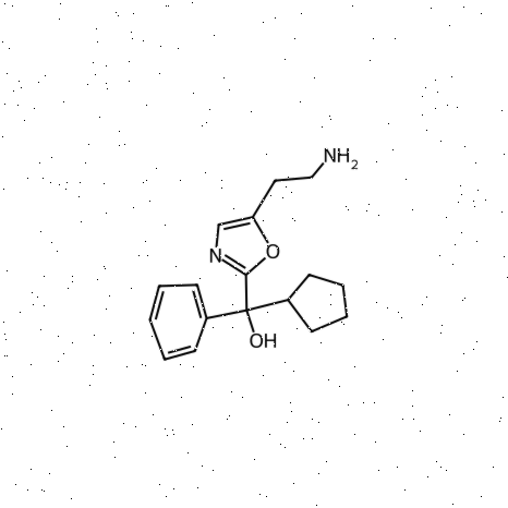 NCCc1cnc(C(O)(c2ccccc2)C2CCCC2)o1